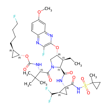 CC[C@@H]1[C@@H](Oc2nc3cc(OC)ccc3nc2F)CN(C(=O)[C@@H](NC(=O)O[C@@H]2C[C@H]2CCCCF)C(C)(C)C)[C@@H]1C(=O)N[C@]1(C(=O)NS(=O)(=O)C2(C)CC2)C[C@H]1C(F)F